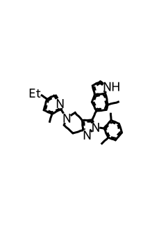 CCc1cnc(N2CCc3nn(-c4c(C)cccc4C)c(-c4cc(C)c5[nH]ccc5c4)c3C2)c(C)c1